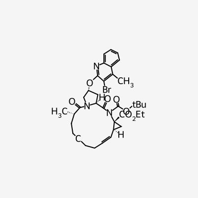 CCOC(=O)[C@@]12C[C@H]1/C=C\CCCCC[C@H](C)C(=O)N1C[C@H](Oc3nc4ccccc4c(C)c3Br)C[C@H]1C(=O)N2C(=O)OC(C)(C)C